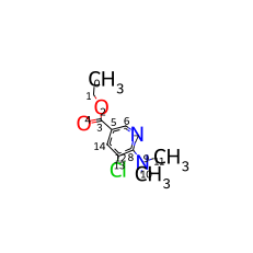 CCOC(=O)c1cnc(N(C)C)c(Cl)c1